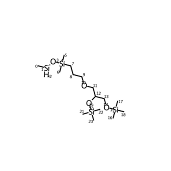 C[SiH](C)O[Si](C)(C)CCCOCC(CO[Si](C)(C)C)O[Si](C)(C)C